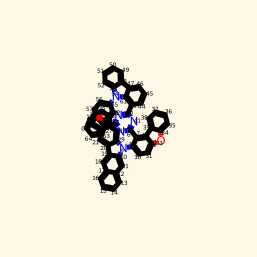 c1ccc(-c2nc(-c3c(-n4c5cc6ccccc6cc5c5cc6ccccc6cc54)ccc4oc5ccccc5c34)nc(-c3cccc4c5ccccc5n(-c5ccccc5)c34)n2)cc1